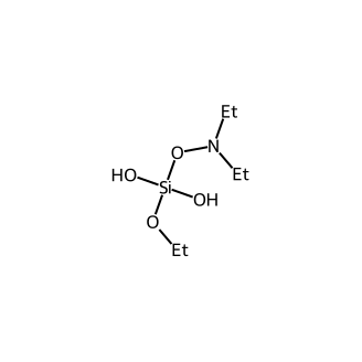 CCO[Si](O)(O)ON(CC)CC